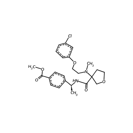 COC(=O)c1ccc([C@H](C)NC(=O)C2(N(C)CCOc3cccc(Cl)c3)CCOC2)cc1